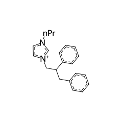 CCCn1cc[n+](CC(Cc2ccccc2)c2ccccc2)c1